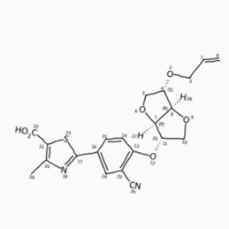 C=CCO[C@H]1CO[C@H]2[C@@H]1OC[C@@H]2Oc1ccc(-c2nc(C)c(C(=O)O)s2)cc1C#N